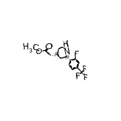 COC(=O)C[C@@H]1CCN[C@H](c2ccc(C(F)(F)F)cc2F)C1